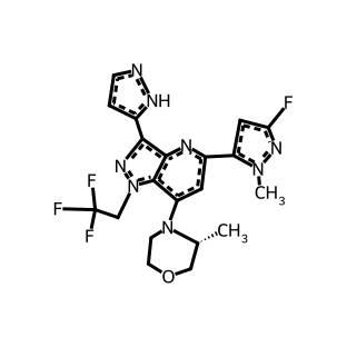 C[C@@H]1COCCN1c1cc(-c2cc(F)nn2C)nc2c(-c3ccn[nH]3)nn(CC(F)(F)F)c12